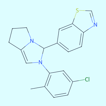 Cc1ccc(Cl)cc1N1C=C2CCCN2C1c1ccc2ncsc2c1